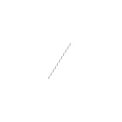 OCCCCCCCCCCCCCCCCCCCCCCF